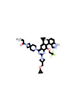 C=CC(=O)N1CC2(CCN(c3nc(N4CC(COC5CC5)C4)nc4c(OCC(F)(F)F)c(-c5c(C)ccc6[nH]ncc56)c(C5CC5)cc34)CC2)C1